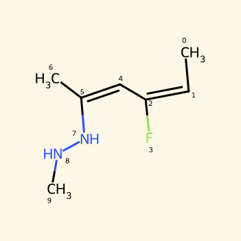 C/C=C(F)\C=C(\C)NNC